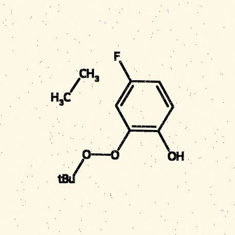 CC.CC(C)(C)OOc1cc(F)ccc1O